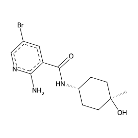 C[C@]1(O)CC[C@H](NC(=O)c2cc(Br)cnc2N)CC1